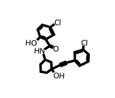 O=C(NC1CCCC(O)(C#Cc2cccc(Cl)c2)C1)c1cc(Cl)ccc1O